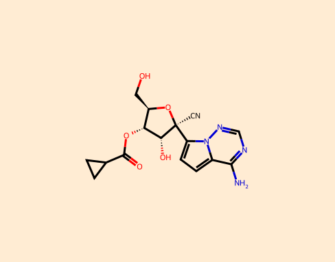 N#C[C@@]1(c2ccc3c(N)ncnn23)O[C@H](CO)[C@@H](OC(=O)C2CC2)[C@H]1O